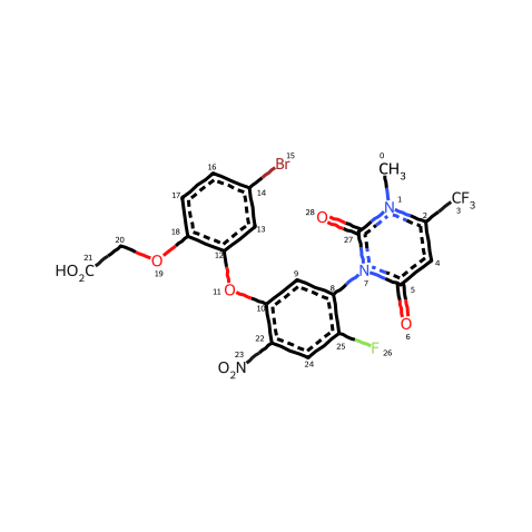 Cn1c(C(F)(F)F)cc(=O)n(-c2cc(Oc3cc(Br)ccc3OCC(=O)O)c([N+](=O)[O-])cc2F)c1=O